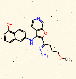 COCCCC(=NN)c1oc2cnccc2c1Nc1ccc2c(O)cccc2c1